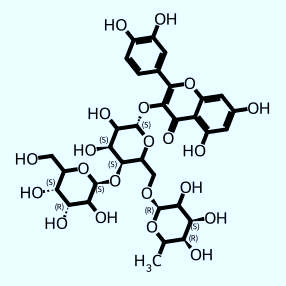 CC1O[C@@H](OCC2O[C@@H](Oc3c(-c4ccc(O)c(O)c4)oc4cc(O)cc(O)c4c3=O)C(O)[C@H](O)[C@@H]2O[C@@H]2OC(CO)[C@@H](O)[C@@H](O)C2O)C(O)[C@@H](O)[C@H]1O